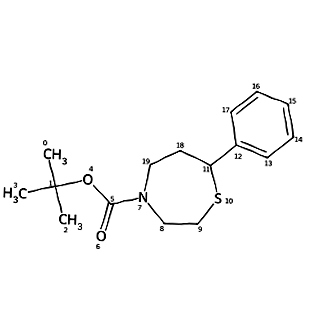 CC(C)(C)OC(=O)N1CCSC(c2ccccc2)CC1